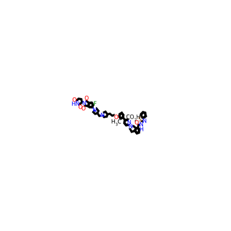 Cc1c(OCCCC2CCN(CC3CCN(c4cc5c(cc4F)C(=O)N(C4CCC(=O)NC4=O)C5=O)CC3)CC2)cccc1-c1ccc(N2CCc3cccc(C(=O)Nc4nc5ccccc5s4)c3C2)nc1C(=O)O